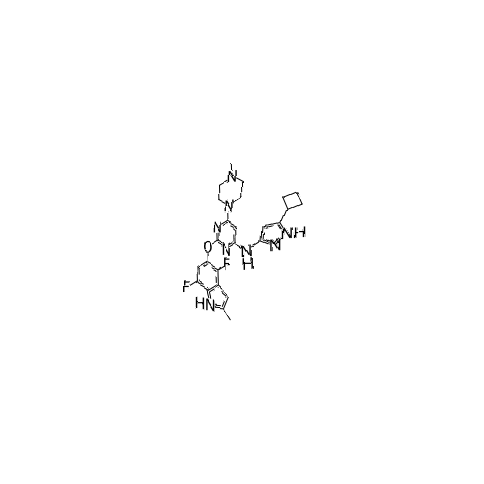 Cc1cc2c(F)c(Oc3nc(Nc4cc(C5CCC5)[nH]n4)cc(N4CCN(C)CC4)n3)cc(F)c2[nH]1